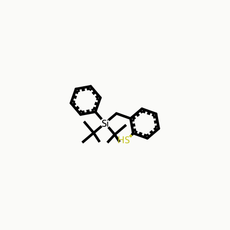 CC(C)(C)[Si](Cc1ccccc1S)(c1ccccc1)C(C)(C)C